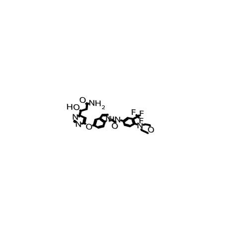 NC(=O)CC(O)c1cc(Oc2ccc3c(ccn3C(=O)Nc3ccc(N4CCOCC4)c(C(F)(F)F)c3)c2)ncn1